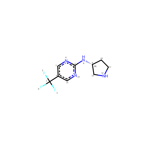 FC(F)(F)c1cnc(N[C@@H]2CCNC2)nc1